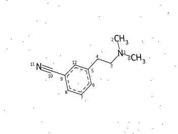 CN(C)CCc1cccc(C#N)c1